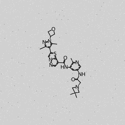 Cc1ncc(NC(=O)CN2CC(C)(C)C2)cc1NC(=O)c1cnn2cc(-c3c(C)nn(C4COC4)c3C)sc12